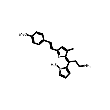 Bn1cccc1/C(CCN)=C1N=C(/C=C/c2ccc(OC)cc2)C=C\1C